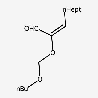 CCCCCCC/C=C(\C=O)OCOCCCC